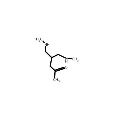 CNCC(CNC)CC(C)=O